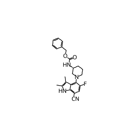 Cc1[nH]c2c(C#N)cc(F)c(N3CCC[C@H](NC(=O)OCc4ccccc4)C3)c2c1C